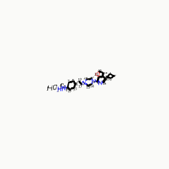 C1CCC1.O=C(O)N[C@H]1CC[C@H](CCN2CCN(c3nccc4c3OCC4)CC2)CC1